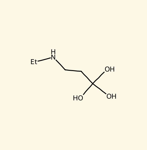 CCNCCC(O)(O)O